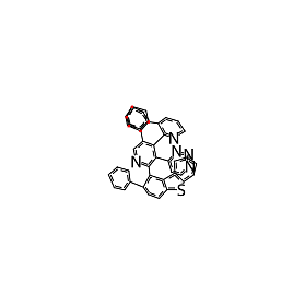 c1ccc(-c2cccnc2-c2c(-c3ccccc3)cnc(-c3c(-c4ccccc4)ccc4sc5ccccc5c34)c2-c2ccnnn2)cc1